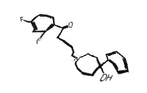 O=C(CCCN1CCC(O)(c2ccccc2)CC1)c1ccc(F)cc1F